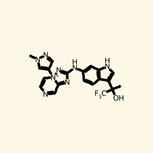 Cn1cc([N+]23C=CN=CC2=NC(Nc2ccc4c(C(C)(O)C(F)(F)F)c[nH]c4c2)=N3)cn1